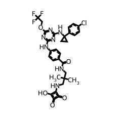 CC(C)(CNC(=O)c1ccc(Nc2nc(NC3(c4ccc(Cl)cc4)CC3)nc(OCC(F)(F)F)n2)cc1)CNc1c(O)c(=O)c1=O